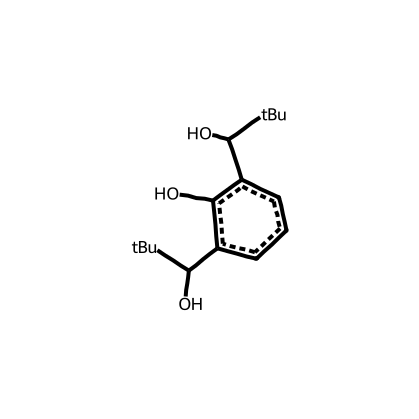 CC(C)(C)C(O)c1cccc(C(O)C(C)(C)C)c1O